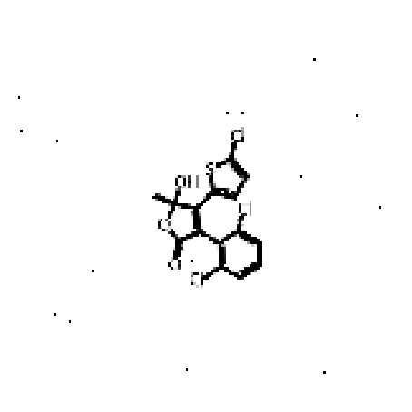 CC1(O)OC(=O)C(c2c(Cl)cccc2Cl)=C1c1ccc(Cl)s1